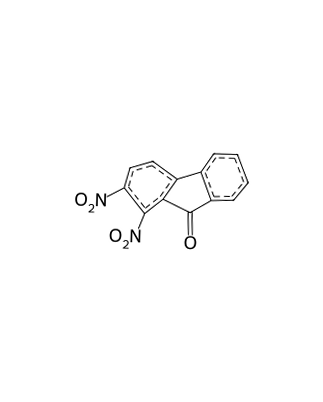 O=C1c2ccccc2-c2ccc([N+](=O)[O-])c([N+](=O)[O-])c21